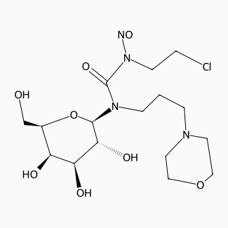 O=NN(CCCl)C(=O)N(CCCN1CCOCC1)[C@@H]1O[C@H](CO)[C@H](O)[C@H](O)[C@H]1O